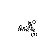 CCOC(=O)c1ccn(-c2nc(NC(=O)c3ccc([N+](=O)[O-])s3)c3cnn(-c4ccc(F)cc4)c3n2)c1